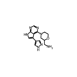 NCC1CN(c2ncnc3[nH]cc(-c4cn[nH]c4)c23)CCO1